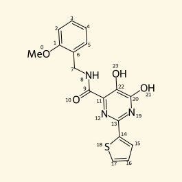 COc1ccccc1CNC(=O)c1nc(-c2cccs2)nc(O)c1O